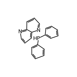 c1ccc(Pc2ccccc2)cc1.c1cnc2cccnc2c1